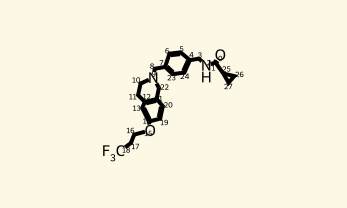 O=C(NCc1ccc(CN2CCc3cc(OCCC(F)(F)F)ccc3C2)cc1)C1CC1